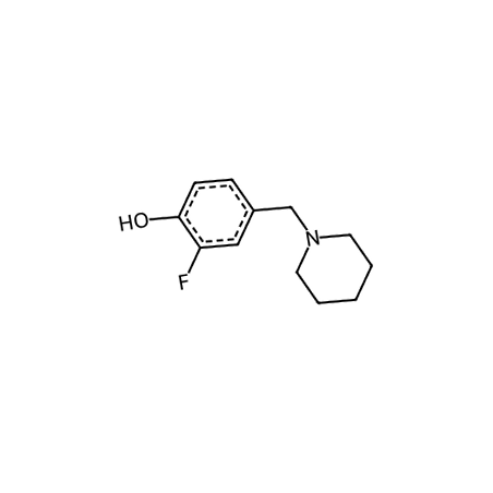 Oc1ccc(CN2CCCCC2)cc1F